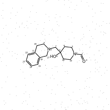 O=CN1CCC(O)(CN2CCc3ccccc3C2)CC1